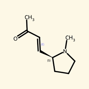 CC(=O)/C=C/[C@@H]1CCCN1C